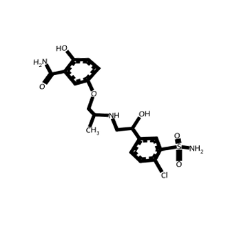 CC(COc1ccc(O)c(C(N)=O)c1)NCC(O)c1ccc(Cl)c(S(N)(=O)=O)c1